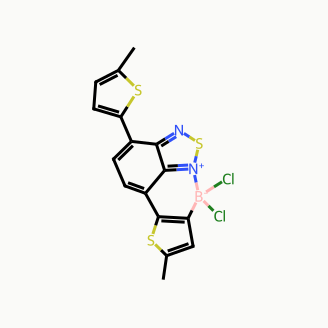 Cc1ccc(-c2ccc3c4c2ns[n+]4[B-](Cl)(Cl)c2cc(C)sc2-3)s1